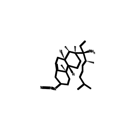 CC[C@](N)([C@H](C)CCCC(C)C)[C@@]1(C)CC[C@H]2[C@@H](CC=C3CC(N=[N+]=[N-])CC[C@@]32C)[C@@H]1C